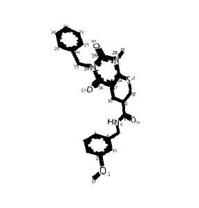 COc1cccc(CNC(=O)C2CSc3c(c(=O)n(Cc4ccccc4)c(=O)n3C)C2)c1